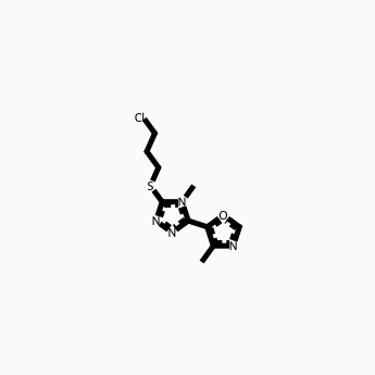 Cc1ncoc1-c1nnc(SCCCCl)n1C